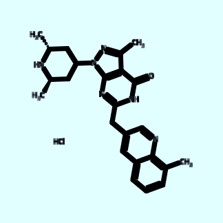 Cc1cccc2cc(Cc3nc4c(c(C)nn4C4C[C@@H](C)N[C@H](C)C4)c(=O)[nH]3)cnc12.Cl